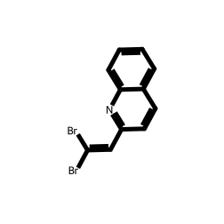 BrC(Br)=Cc1ccc2ccccc2n1